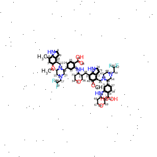 COc1cc(C)c2[nH]ccc2c1CN1CCN(CC(F)F)C[C@@H]1c1ccc(C(=O)O)c(NC2CCOCC2Cc2cc(OC)c(CN3CCN(CC(F)F)C[C@H]3c3ccc(C(O)O)c(NC4CCOCC4)c3)c3cc[nH]c23)c1